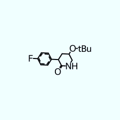 CC(C)(C)OC1CNC(=O)C(c2ccc(F)cc2)C1